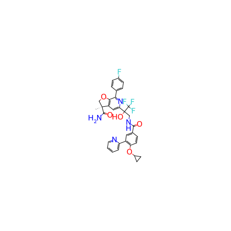 C[C@]1(C(N)=O)COc2c1cc(C(O)(CNC(=O)c1ccc(OC3CC3)c(-c3ccccn3)c1)C(F)(F)F)nc2-c1ccc(F)cc1